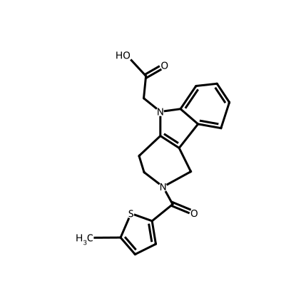 Cc1ccc(C(=O)N2CCc3c(c4ccccc4n3CC(=O)O)C2)s1